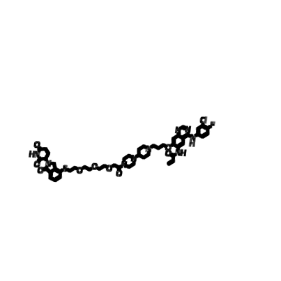 C=CC(=O)Nc1cc2c(Nc3ccc(F)c(Cl)c3)ncnc2cc1OCCCN1CCC(N2CCN(C(=O)COCCOCCOCCSc3cccc4c3CN(C3CCC(=O)NC3=O)C4=O)CC2)CC1